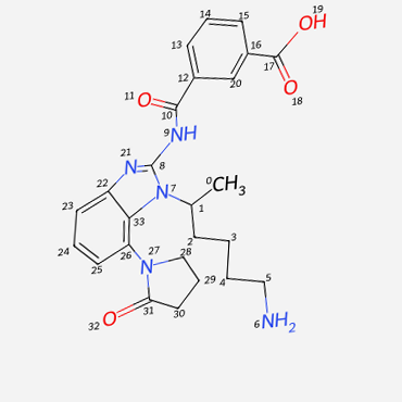 CC(CCCCN)n1c(NC(=O)c2cccc(C(=O)O)c2)nc2cccc(N3CCCC3=O)c21